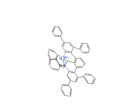 CC(C)c1c(-c2c(Nc3ccccc3)cc(-c3ccccc3)cc2-c2ccccc2)cccc1-c1c(Nc2ccccc2)cc(-c2ccccc2)cc1-c1ccccc1